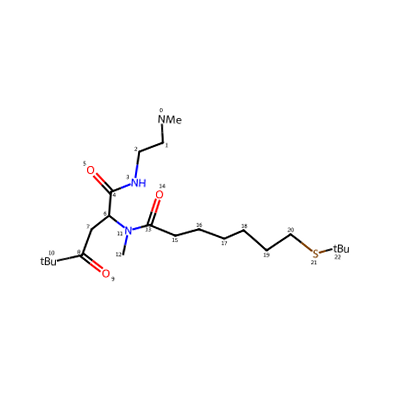 CNCCNC(=O)C(CC(=O)C(C)(C)C)N(C)C(=O)CCCCCCSC(C)(C)C